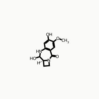 COc1cc2c(cc1O)NC(O)[C@@H]1CCN1C2=O